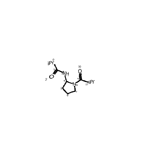 CC(C)C(=O)NC1CCCN1C(=O)C(C)C